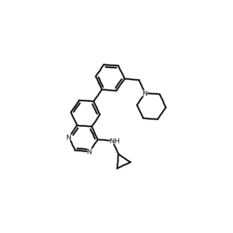 c1cc(CN2CCCCC2)cc(-c2ccc3ncnc(NC4CC4)c3c2)c1